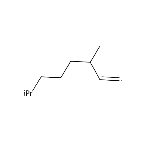 [CH]=CC(C)CCCC(C)C